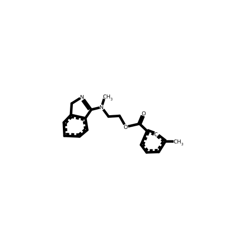 Cc1cccc(C(=O)OCCN(C)C2=NCc3ccccc32)c1